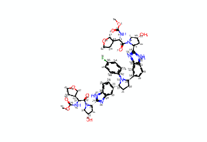 COC(=O)N[C@H](C(=O)N1C[C@H](O)C[C@H]1c1nc2cc([C@H]3CC[C@H](c4ccc5[nH]c([C@@H]6C[C@H](O)CN6C(=O)[C@@H](NC(=O)OC)C6CCOC6)nc5c4)N3c3ccc(F)cc3)ccc2[nH]1)C1CCOC1